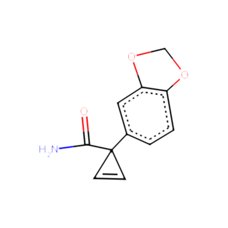 NC(=O)C1(c2ccc3c(c2)OCO3)C=C1